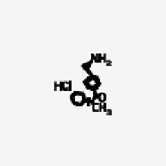 CN(C(=O)c1ccc(C2CC2N)cc1)c1ccccc1.Cl